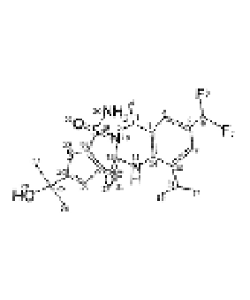 CC(C)c1cc(C(F)F)cc(C(C)C)c1NC(=O)N=S(N)(=O)c1sc(C(C)(C)O)cc1F